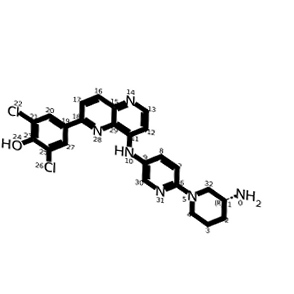 N[C@@H]1CCCN(c2ccc(Nc3[c]cnc4ccc(-c5cc(Cl)c(O)c(Cl)c5)nc34)cn2)C1